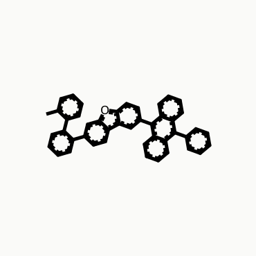 Cc1ccccc1-c1ccccc1-c1ccc2c(c1)oc1ccc(-c3c4ccccc4c(-c4ccccc4)c4ccccc34)cc12